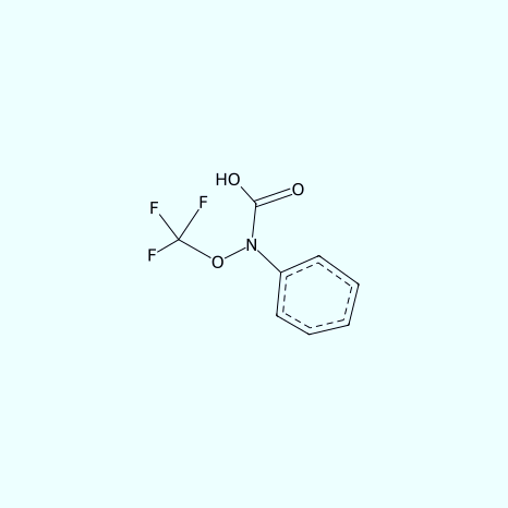 O=C(O)N(OC(F)(F)F)c1ccccc1